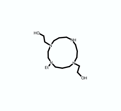 CCN1CCCN(CCO)CCCNCCCN(CCO)CC1